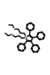 CCSCCCS1(CCCSCC)C(c2ccccc2)=C(c2ccccc2)C(c2ccccc2)=C1c1ccccc1